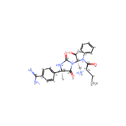 COC(=O)[C@](C(C)=O)(N1C(=O)N[C@](C)(c2ccc(C(=N)N)cc2)C1=O)N(C(=O)[C@@H](N)CC(=O)O)c1ccccc1